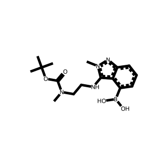 CN(CCNc1c2c(B(O)O)cccc2nn1C)C(=O)OC(C)(C)C